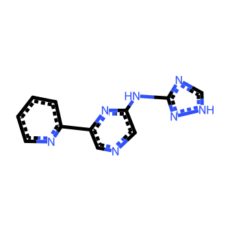 c1ccc(-c2cncc(Nc3nc[nH]n3)n2)nc1